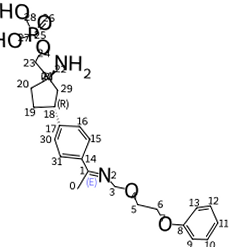 C/C(=N\COCCOc1ccccc1)c1ccc([C@@H]2CC[C@](N)(COP(=O)(O)O)C2)cc1